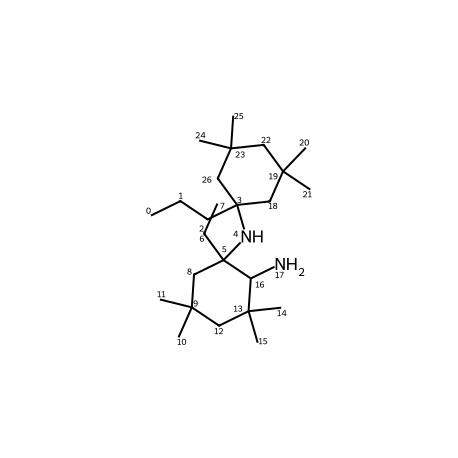 CCCC1(NC2(CC)CC(C)(C)CC(C)(C)C2N)CC(C)(C)CC(C)(C)C1